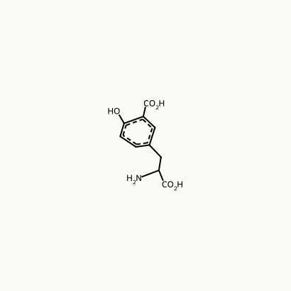 NC(Cc1ccc(O)c(C(=O)O)c1)C(=O)O